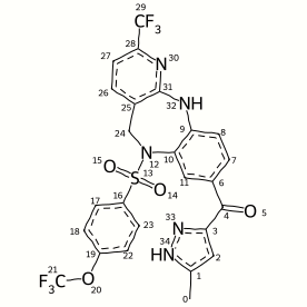 Cc1cc(C(=O)c2ccc3c(c2)N(S(=O)(=O)c2ccc(OC(F)(F)F)cc2)Cc2ccc(C(F)(F)F)nc2N3)n[nH]1